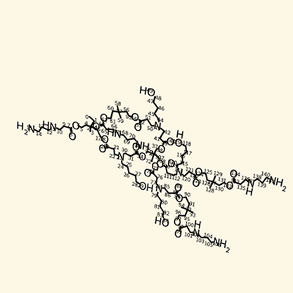 CCC(C)(CCOC(=O)CCNCCCN)CCOC(=O)CCN(CCCCCO)CCC(=O)OCC(COC(=O)CCN(CCCCCO)CCC(=O)OCCC(C)(C)CCOC(=O)CCNCCCN)(COC(=O)CCN(CCCCCO)CCC(=O)OCCC(C)(C)CCOC(=O)CCNCCCN)COC(=O)CCN(CCCCCO)CCC(=O)OCCC(C)(C)CCOC(=O)CCNCCCN